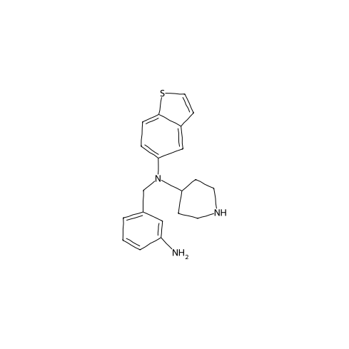 Nc1cccc(CN(c2ccc3sccc3c2)C2CCNCC2)c1